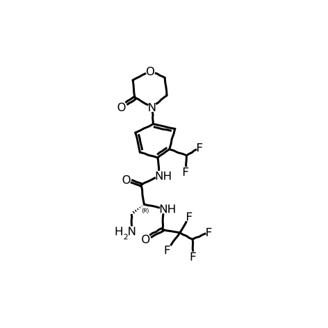 NC[C@@H](NC(=O)C(F)(F)C(F)F)C(=O)Nc1ccc(N2CCOCC2=O)cc1C(F)F